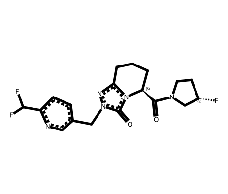 O=C([C@@H]1CCCc2nn(Cc3ccc(C(F)F)nc3)c(=O)n21)N1CC[C@H](F)C1